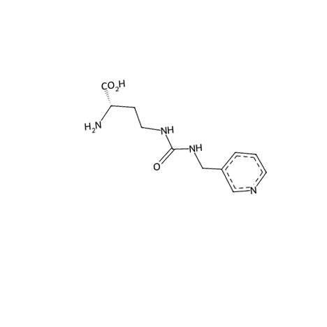 N[C@@H](CCNC(=O)NCc1cccnc1)C(=O)O